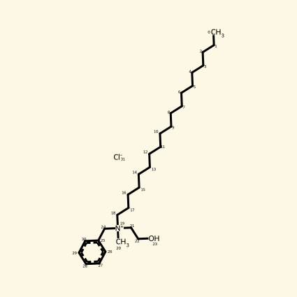 CCCCCCCCCCCCCCCCCCC[N+](C)(CCO)Cc1ccccc1.[Cl-]